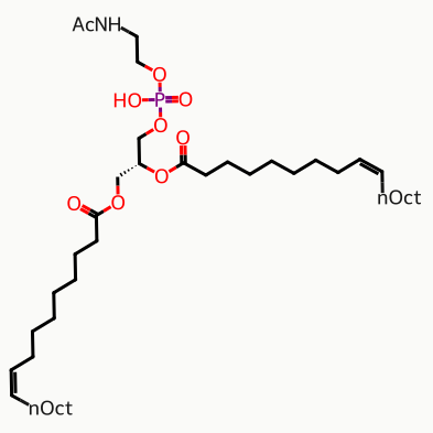 CCCCCCCC/C=C\CCCCCCCC(=O)OC[C@H](COP(=O)(O)OCCNC(C)=O)OC(=O)CCCCCCC/C=C\CCCCCCCC